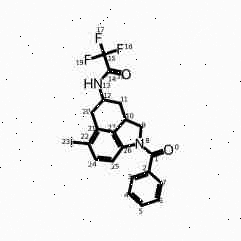 O=C(c1ccccc1)N1CC2CC(NC(=O)C(F)(F)F)Cc3c(I)ccc1c32